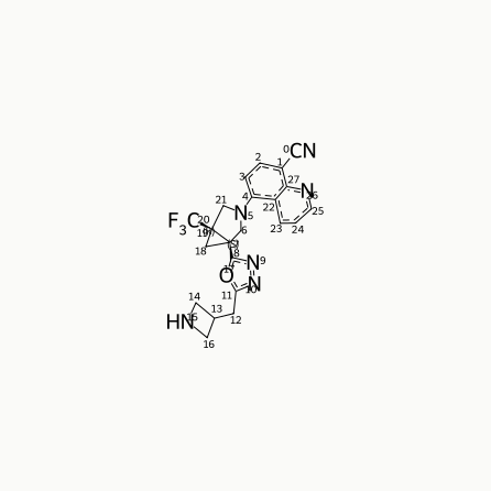 N#Cc1ccc(N2C[C@]3(c4nnc(CC5CNC5)o4)C[C@]3(C(F)(F)F)C2)c2cccnc12